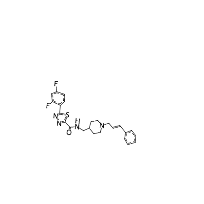 O=C(NCC1CCN(C/C=C/c2ccccc2)CC1)c1nnc(-c2ccc(F)cc2F)s1